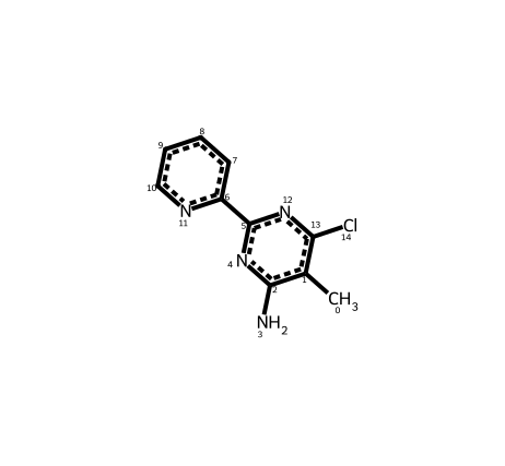 Cc1c(N)nc(-c2ccccn2)nc1Cl